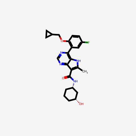 Cc1[nH]c2c(-c3cc(F)ccc3OCC3CC3)ncnc2c1C(=O)N[C@H]1CCC[C@@H](O)C1